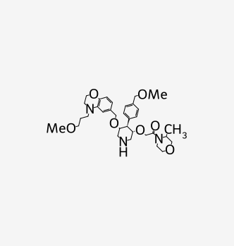 COCCCN1CCOc2ccc(CO[C@H]3CNC[C@@H](OCC(=O)N4CCOCC4C)[C@@H]3c3ccc(COC)cc3)cc21